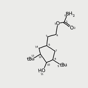 BC(=O)OCCC1CC(C(C)(C)C)C(O)C(C(C)(C)C)C1